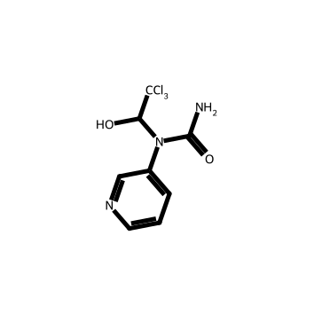 NC(=O)N(c1cccnc1)C(O)C(Cl)(Cl)Cl